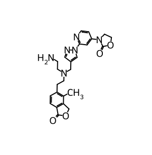 Cc1c(CCN(CCN)Cc2cnn(-c3cc(N4CCOC4=O)ccn3)c2)ccc2c1COC2=O